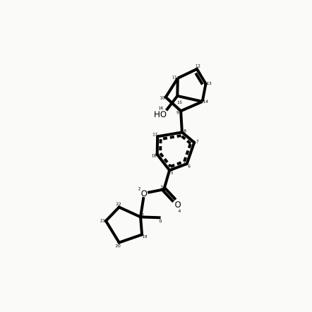 CC1(OC(=O)c2ccc(C3CC4C=CC3C4O)cc2)CCCC1